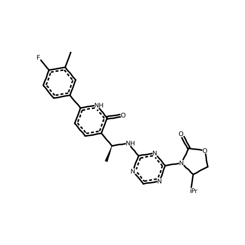 Cc1cc(-c2ccc([C@H](C)Nc3ncnc(N4C(=O)OCC4C(C)C)n3)c(=O)[nH]2)ccc1F